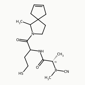 CB(C#N)[C@@H](C)C(=O)NC(CCS)C(=O)N1CCC2(CC=CC2)C1C